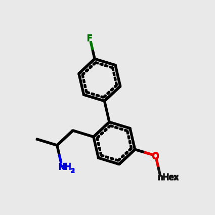 CCCCCCOc1ccc(CC(C)N)c(-c2ccc(F)cc2)c1